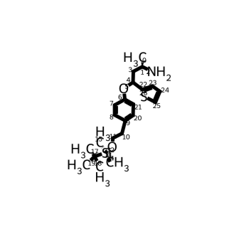 C[C@@H](N)CC(Oc1ccc(CCO[Si](C)(C)C(C)(C)C)cc1)c1cccs1